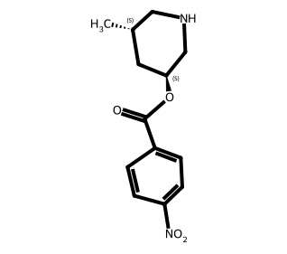 C[C@@H]1CNC[C@@H](OC(=O)c2ccc([N+](=O)[O-])cc2)C1